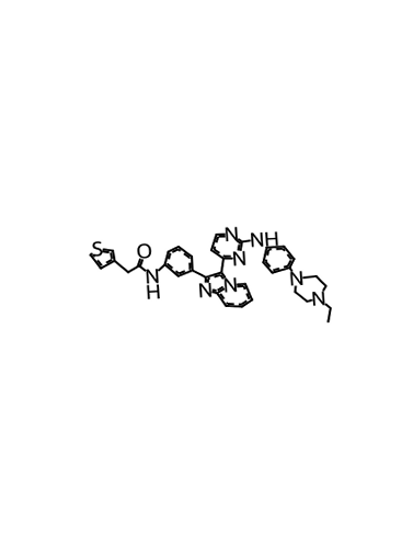 CCN1CCN(c2ccc(Nc3nccc(-c4c(-c5cccc(NC(=O)Cc6ccsc6)c5)nc5ccccn45)n3)cc2)CC1